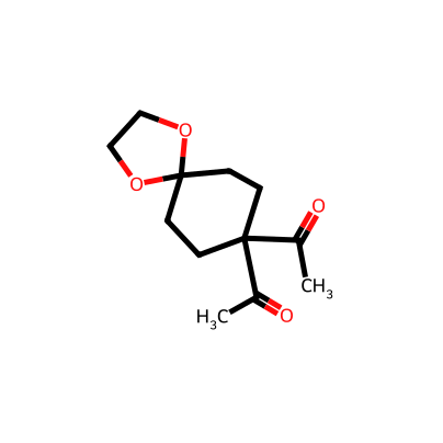 CC(=O)C1(C(C)=O)CCC2(CC1)OCCO2